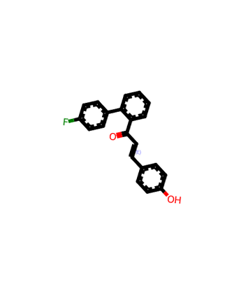 O=C(/C=C/c1ccc(O)cc1)c1ccccc1-c1ccc(F)cc1